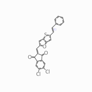 O=C1C(=Cc2cc3sc(/C=C/c4ccccc4)cc3o2)C(=O)c2cc(Cl)c(Cl)cc21